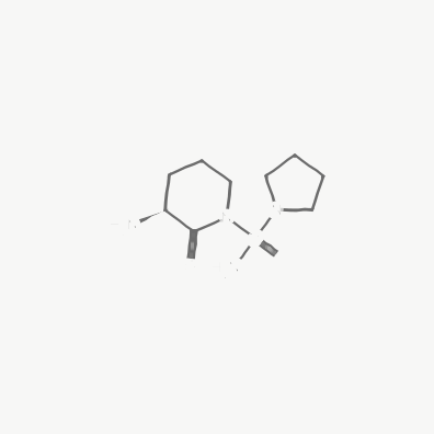 N[C@H]1CCCN(P(N)(=O)N2CCCC2)C1=O